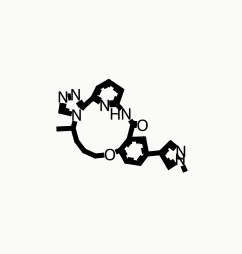 CC1CCCOc2ccc(-c3cnn(C)c3)cc2C(=O)Nc2cccc(n2)-c2nncn21